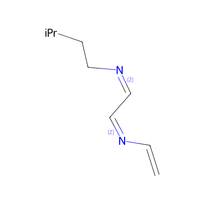 C=C/N=C\C=N/CCC(C)C